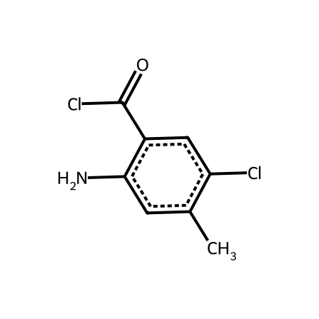 Cc1cc(N)c(C(=O)Cl)cc1Cl